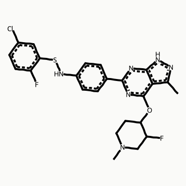 Cc1n[nH]c2nc(-c3ccc(NSc4cc(Cl)ccc4F)cc3)nc(OC3CCN(C)CC3F)c12